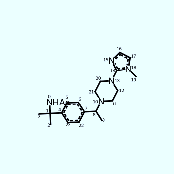 CC(=O)NC(C)(C)c1ccc(C(C)N2CCN(c3nccn3C)CC2)cc1